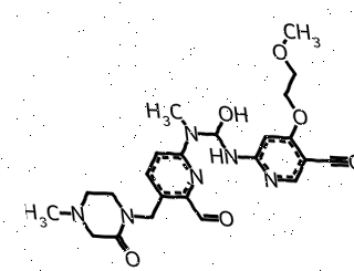 C#Cc1cnc(NC(O)N(C)c2ccc(CN3CCN(C)CC3=O)c(C=O)n2)cc1OCCOC